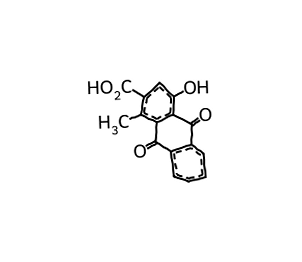 Cc1c(C(=O)O)cc(O)c2c1C(=O)c1ccccc1C2=O